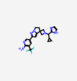 Nc1ncc(-c2cc3n(n2)CCC32CN(C(c3ncc[nH]3)C3CC3)C2)cc1C(F)(F)F